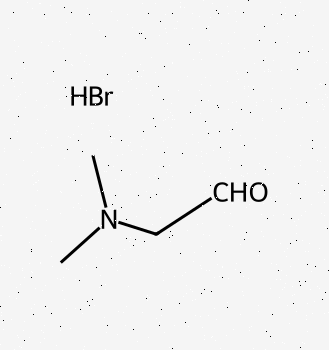 Br.CN(C)CC=O